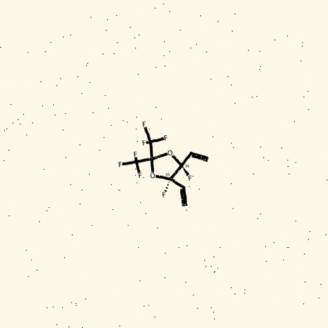 C=C[C@@]1(F)OC(C(F)(F)F)(C(F)(F)F)O[C@]1(F)C=C